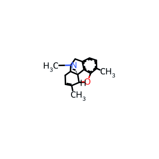 CC1=CCC2C3Cc4ccc(C)c5c4[C@@]2(CCN3C)[C@H]1O5